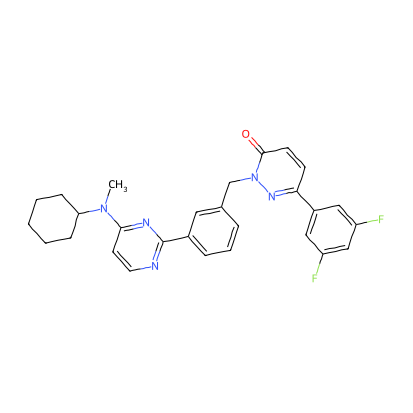 CN(c1ccnc(-c2cccc(Cn3nc(-c4cc(F)cc(F)c4)ccc3=O)c2)n1)C1CCCCC1